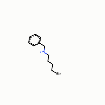 CCC(C)CCCCNCc1ccccc1